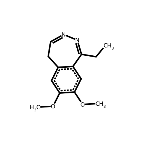 CCC1=NN=CCc2cc(OC)c(OC)cc21